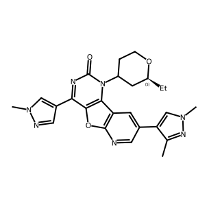 CC[C@H]1CC(n2c(=O)nc(-c3cnn(C)c3)c3oc4ncc(-c5cn(C)nc5C)cc4c32)CCO1